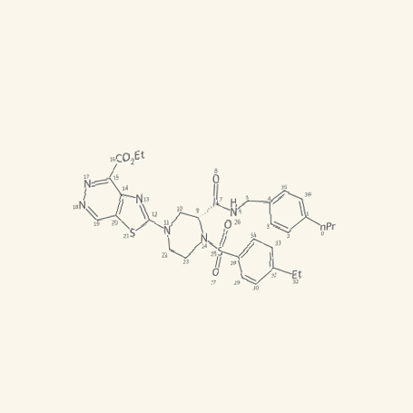 CCCc1ccc(CNC(=O)[C@H]2CN(c3nc4c(C(=O)OCC)nncc4s3)CCN2S(=O)(=O)c2ccc(CC)cc2)cc1